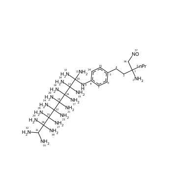 CCCC(N)(CCc1ccc(NC(N)(N)C(N)(N)C(N)(N)C(N)(N)C(N)(N)C(N)(N)C(N)(N)C(N)N)cc1)CN=O